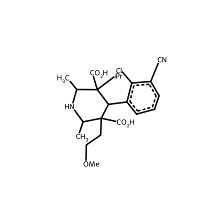 COCCC1(C(=O)O)C(C)NC(C)C(C(=O)O)(C(C)C)C1c1cccc(C#N)c1Cl